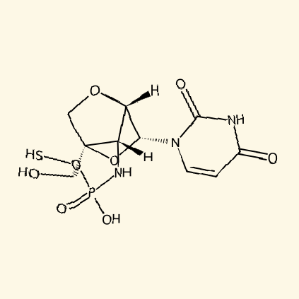 O=c1ccn([C@@H]2O[C@@]3(CO)CO[C@H]2[C@@H]3NP(=O)(O)OS)c(=O)[nH]1